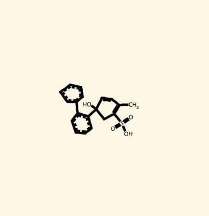 CC1=C(S(=O)(=O)O)CC(O)(c2ccccc2-c2ccccc2)C=C1